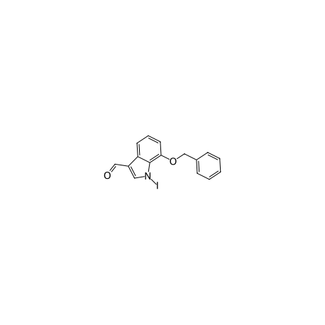 O=Cc1cn(I)c2c(OCc3ccccc3)cccc12